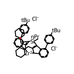 CCC[Si]1(C)C2=C(CC3CCCCC3)[CH]([Zr+2][CH]3C(CC4CCCCC4)=C1c1c(-c4ccc(C(C)(C)C)cc4)cccc13)c1cccc(-c3ccc(C(C)(C)C)cc3)c12.[Cl-].[Cl-]